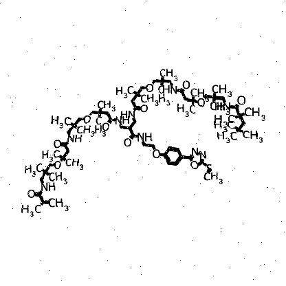 CSc1nnc(-c2ccc(OCCNC(=O)C(CNC(=O)CC(C)(C)COCC(C)(C)CNC(=O)CC(C)(C)OCC(C)(C)CNC(=O)C(C)C)CNC(=O)CC(C)(C)COCC(C)(C)CNC(=O)CC(C)(C)OCC(C)(C)CNC(=O)C(C)(C)CC(C)(C)C)cc2)o1